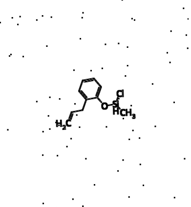 C=CCc1ccccc1O[SiH](C)Cl